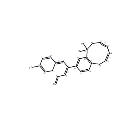 C=C/C=C(\C=C1\C=CC(I)=CC1)c1ccc2c(c1)C(C)(C)C/C=C\C=C/C2